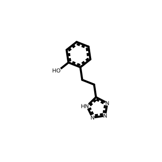 Oc1ccccc1CCc1nnn[nH]1